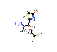 CCOC(=O)[C@@H](N)[C@H](OCC(F)F)c1nc(Br)cs1